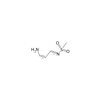 CS(=O)(=O)/N=C/C=C\N